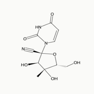 C[C@@]1(O)[C@@H](O)[C@](C#N)(n2ccc(=O)[nH]c2=O)O[C@@H]1CO